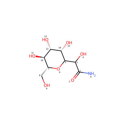 NC(=O)C(O)C1O[C@H](CO)[C@@H](O)[C@H](O)[C@@H]1O